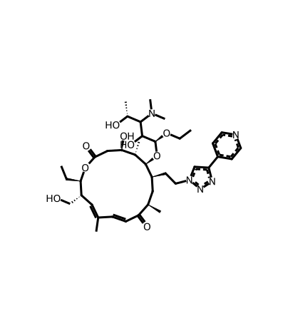 CCO[C@@H](O[C@H]1[C@@H](CCn2cc(-c3ccncc3)nn2)C[C@@H](C)C(=O)/C=C/C(C)=C/[C@H](CO)[C@@H](CC)OC(=O)C[C@@H](O)[C@@H]1C)C(O)C([C@@H](C)O)N(C)C